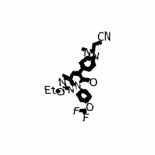 CCOc1ncc2c(n1)N(c1ccc(OC(F)F)cc1)C(=C=O)C(c1ccc3nc(CCC#N)n(C)c3c1)=C2